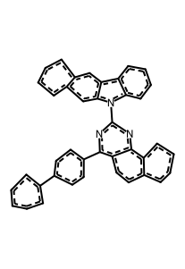 c1ccc(-c2ccc(-c3nc(-n4c5ccccc5c5cc6ccccc6cc54)nc4c3ccc3ccccc34)cc2)cc1